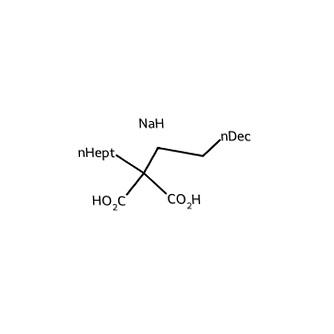 CCCCCCCCCCCCC(CCCCCCC)(C(=O)O)C(=O)O.[NaH]